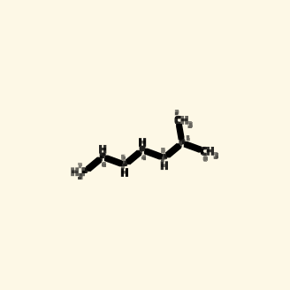 CP(C)PPPPP